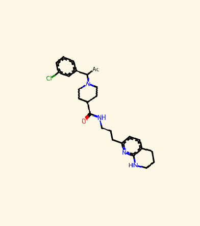 CC(=O)C(c1cccc(Cl)c1)N1CCC(C(=O)NCCCc2ccc3c(n2)NCCC3)CC1